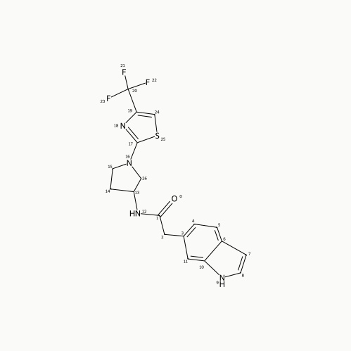 O=C(Cc1ccc2cc[nH]c2c1)NC1CCN(c2nc(C(F)(F)F)cs2)C1